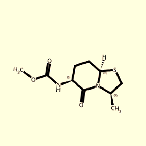 COC(=O)N[C@H]1CC[C@H]2SC[C@@H](C)N2C1=O